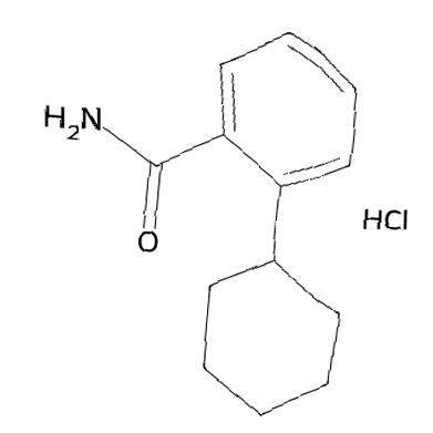 Cl.NC(=O)c1ccccc1C1CCCCC1